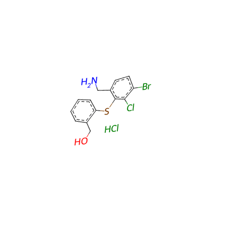 Cl.NCc1ccc(Br)c(Cl)c1Sc1ccccc1CO